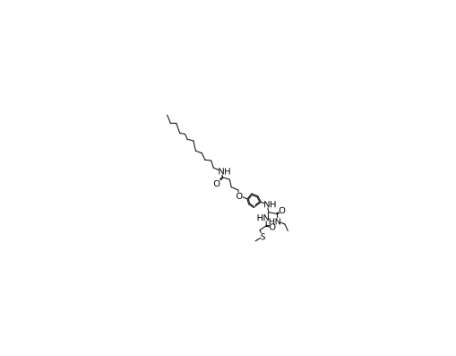 CCCCCCCCCCCCNC(=O)CCCOc1ccc(NC(NC(=O)CSC)C(=O)NCC)cc1